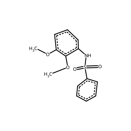 COc1cccc(NS(=O)(=O)c2ccccc2)c1OC